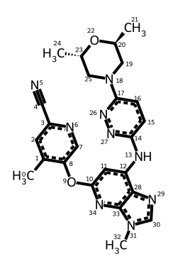 Cc1cc(C#N)ncc1Oc1cc(Nc2ccc(N3C[C@H](C)O[C@@H](C)C3)nn2)c2ncn(C)c2n1